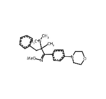 CON=C(c1ccc(N2CCOCC2)cc1)C(C)(Cc1ccccc1)N(C)C